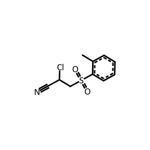 Cc1ccccc1S(=O)(=O)CC(Cl)C#N